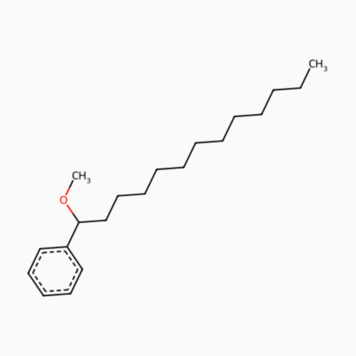 CCCCCCCCCCCCC(OC)c1ccccc1